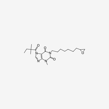 CCC(C)(C)C(=O)n1cnc2c1c(=O)n(CCCCCCCC1CO1)c(=O)n2C